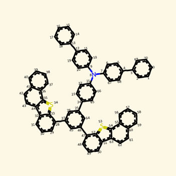 c1ccc(-c2ccc(N(c3ccc(-c4ccccc4)cc3)c3ccc(-c4cc(-c5cccc6c5sc5c7ccccc7ccc65)cc(-c5cccc6c5sc5c7ccccc7ccc65)c4)cc3)cc2)cc1